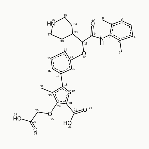 Cc1cccc(C)c1NC(=O)C(Oc1cccc(-c2sc(C(=O)O)c(OCC(=O)O)c2C)c1)C1CCNCC1